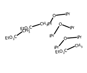 CC(C)OC(C)C.CC(C)OC(C)C.CC(C)OC(C)C.CCOC(C)=O.CCOC(C)=O.CCOC(C)=O